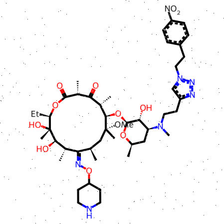 CC[C@H]1OC(=O)[C@H](C)C(=O)[C@H](C)[C@@H](O[C@@H]2O[C@H](C)C[C@H](N(C)CCc3cn(CCc4ccc([N+](=O)[O-])cc4)nn3)[C@H]2O)[C@](C)(OC)C[C@@H](C)/C(=N\OC2CCNCC2)[C@H](C)[C@@H](O)[C@]1(C)O